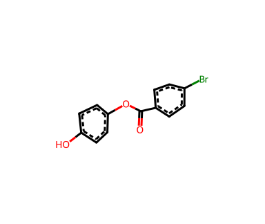 O=C(Oc1ccc(O)cc1)c1ccc(Br)cc1